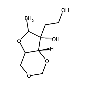 BC1OC2COCO[C@H]2[C@]1(O)CCO